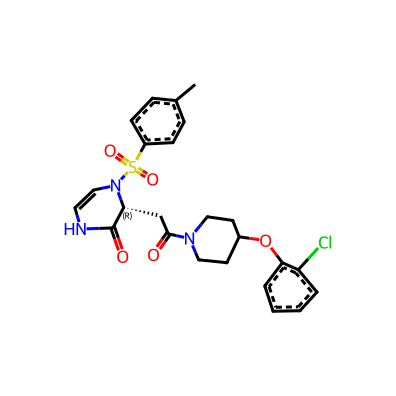 Cc1ccc(S(=O)(=O)N2C=CNC(=O)[C@H]2CC(=O)N2CCC(Oc3ccccc3Cl)CC2)cc1